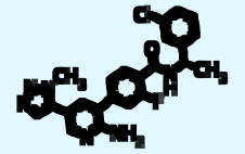 C[C@@H](NC(=O)c1ccc(-c2cc(-c3cnnn3C)cnc2N)cc1F)c1cccc(Cl)c1